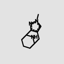 Cn1cc2c(n1)C1CCCC(C2)N1